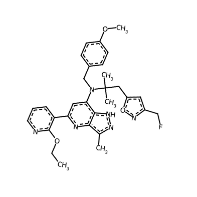 CCOc1ncccc1-c1cc(N(Cc2ccc(OC)cc2)C(C)(C)Cc2cc(CF)no2)c2[nH]nc(C)c2n1